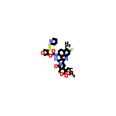 CC[C@@]1(O)C(=O)OCc2c1cc1n(c2=O)Cc2c-1nc1cc(F)c(C)c3c1c2[C@@H](NC(=O)O[C@@H]1COC[C@H]1SSc1ccccn1)CC3